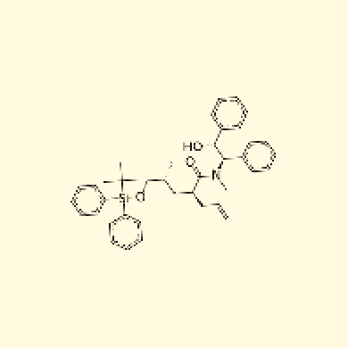 C=CC[C@@H](C[C@@H](C)CO[Si](c1ccccc1)(c1ccccc1)C(C)(C)C)C(=O)N(C)[C@H](c1ccccc1)[C@H](O)c1ccccc1